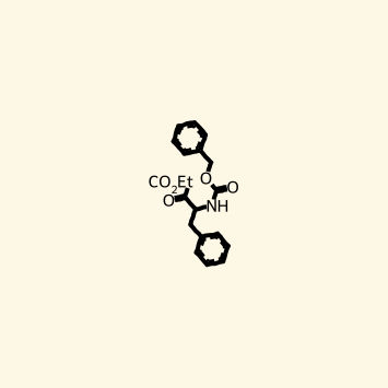 CCOC(=O)C(=O)C(Cc1ccccc1)NC(=O)OCc1ccccc1